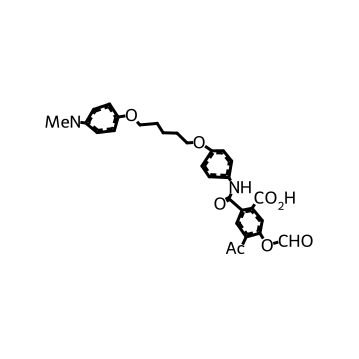 CNc1ccc(OCCCCCOc2ccc(NC(=O)c3cc(C(C)=O)c(OC=O)cc3C(=O)O)cc2)cc1